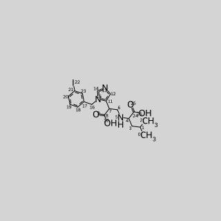 CC(C)CC(NCC(C(=O)O)c1cncn1Cc1cccc(I)c1)C(=O)O